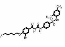 CCCCCCOc1ccc(C(=O)NC(=S)Nc2ccc(S(=O)(=O)Nc3ccc(C)cc3C)cc2)cc1Br